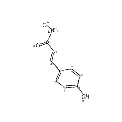 O=C(/C=C/c1ccc(O)cc1)NCl